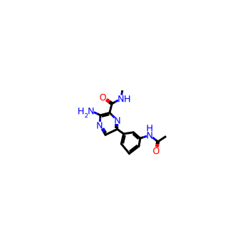 CNC(=O)c1nc(-c2cccc(NC(C)=O)c2)cnc1N